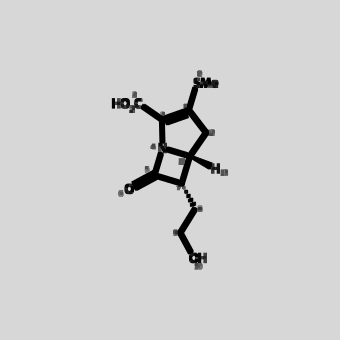 CSC1=C(C(=O)O)N2C(=O)[C@@H](CCO)[C@H]2C1